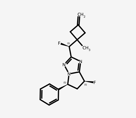 C=C1CC(C)([C@H](F)c2nc3n(n2)[C@H](c2ccccc2)C[C@@H]3F)C1